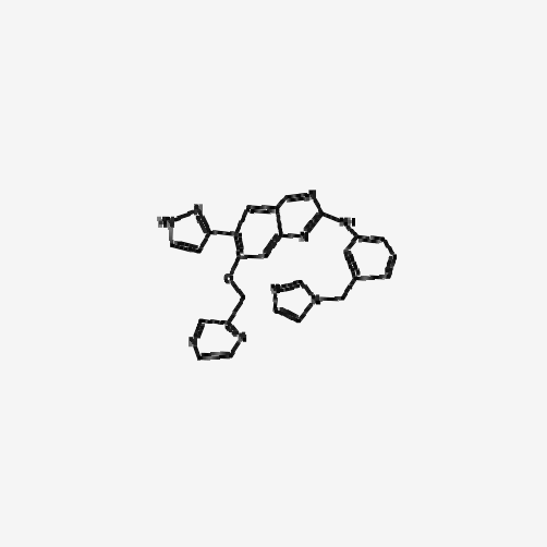 c1cc(Cn2ccnc2)cc(Nc2ncc3cc(-c4cc[nH]n4)c(OCc4cnccn4)cc3n2)c1